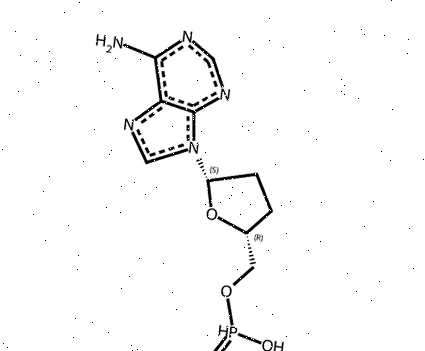 Nc1ncnc2c1ncn2[C@@H]1CC[C@H](CO[PH](=O)O)O1